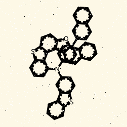 c1ccc2cc(-c3ccc(N(c4ccc5sc6ccccc6c5c4)c4cccc5sc6ccc7oc8c9ccccc9ccc8c7c6c45)cc3)ccc2c1